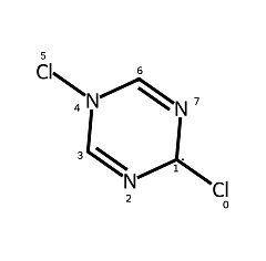 Cl[C]1N=CN(Cl)C=N1